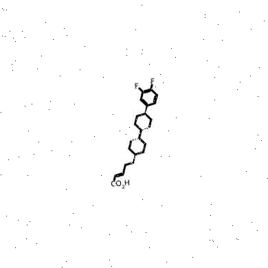 O=C(O)/C=C/CC[C@H]1CC[C@H]([C@H]2CC[C@H](c3ccc(F)c(F)c3)CC2)CC1